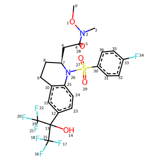 CON(C)C(=O)C[C@@H]1CCc2cc(C(O)(C(F)(F)F)C(F)(F)F)ccc2N1S(=O)(=O)c1ccc(F)cc1